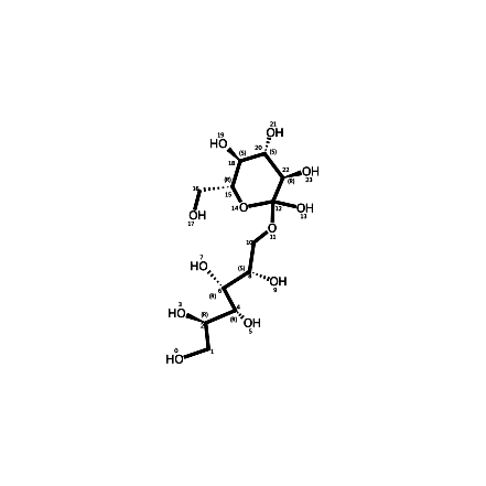 OC[C@@H](O)[C@@H](O)[C@H](O)[C@@H](O)COC1(O)O[C@H](CO)[C@@H](O)[C@H](O)[C@H]1O